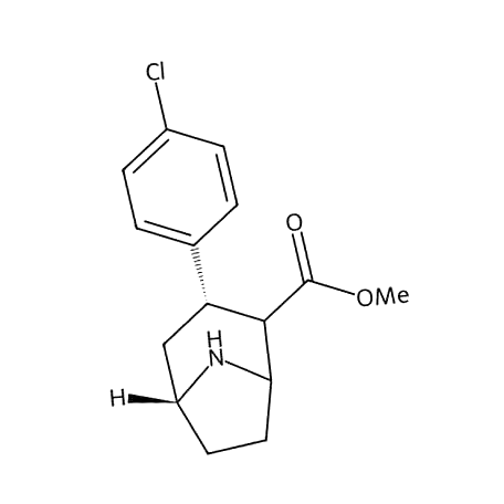 COC(=O)C1C2CC[C@H](C[C@@H]1c1ccc(Cl)cc1)N2